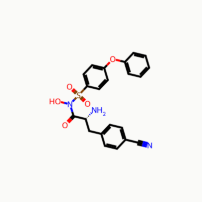 N#Cc1ccc(C[C@@H](N)C(=O)N(O)S(=O)(=O)c2ccc(Oc3ccccc3)cc2)cc1